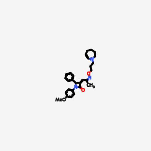 COc1ccc(N2C(=O)C(=CC(C)=NOCCCN3C=CCCCC3)C2c2ccccc2)cc1